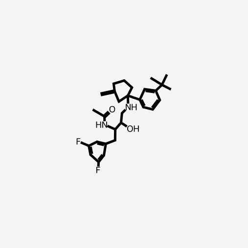 C=C1CCCC(NCC(O)C(Cc2cc(F)cc(F)c2)NC(C)=O)(c2cccc(C(C)(C)C)c2)C1